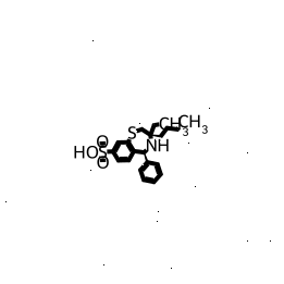 CCCC[C@]1(CC)CSc2cc(S(=O)(=O)O)ccc2[C@H](c2ccccc2)N1